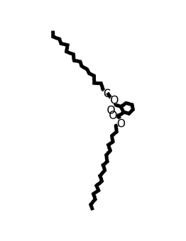 CCCCCCCCCCCCCCCCCCOC(=O)C1CCCCC1C(=O)OCCCCCCCCCCCCCCCCCC